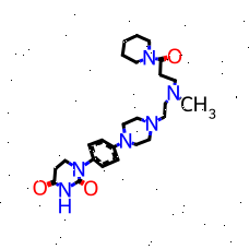 CN(CCC(=O)N1CCCCC1)CCN1CCN(c2ccc(N3CCC(=O)NC3=O)cc2)CC1